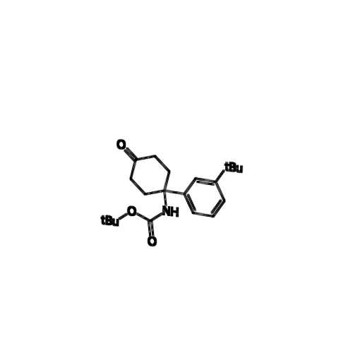 CC(C)(C)OC(=O)NC1(c2cccc(C(C)(C)C)c2)CCC(=O)CC1